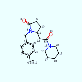 CC(C)(C)c1ccc(CN2C(=O)CCC2CC(=O)N2CCCCC2)cc1